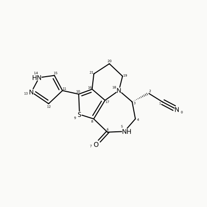 N#CC[C@@H]1CNC(=O)c2sc(-c3cn[nH]c3)c3c2N1CCC3